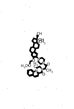 C#C[C@]1(O)CCC2C3CCc4cc(OCOC)c(N5CCN(C(=O)[C@H](C)N(CCC)C(=O)c6ccc7ccccc7n6)CC5)cc4C3CC[C@@]21C